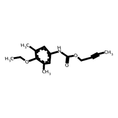 CC#CCOC(=O)Nc1cc(C)c(OCC)c(C)c1